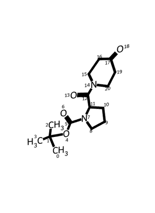 CC(C)(C)OC(=O)N1CCCC1C(=O)N1CCC(=O)CC1